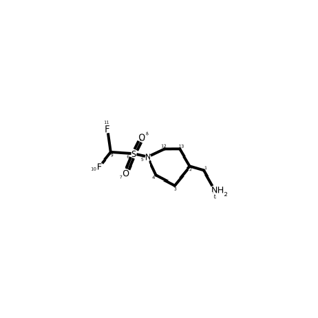 NCC1CCN(S(=O)(=O)C(F)F)CC1